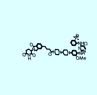 COc1cc(N2CCC(N3CCN(C(=O)CCCc4ccc5c(c4)CN(C4CCC(=O)NC4=O)C5=O)CC3)CC2)ccc1Nc1ncc(Cl)c(Nc2ccccc2P(C)(C)=O)n1